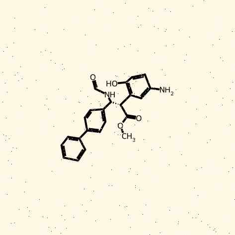 COC(=O)[C@@H](c1cc(N)ccc1O)C(NC=O)c1ccc(-c2ccccc2)cc1